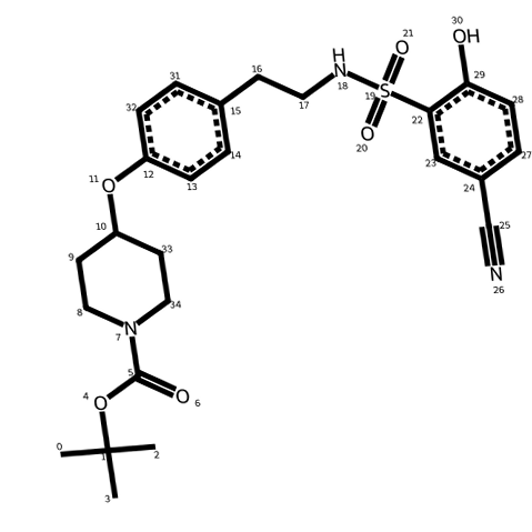 CC(C)(C)OC(=O)N1CCC(Oc2ccc(CCNS(=O)(=O)c3cc(C#N)ccc3O)cc2)CC1